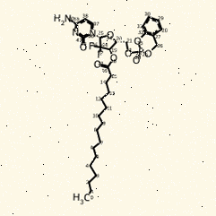 CCCCCCCCCCCCCCCCC(=O)O[C@@H]1[C@@H](COP2(=O)OCc3ccccc3O2)O[C@@H](n2ccc(N)nc2=O)C1(F)F